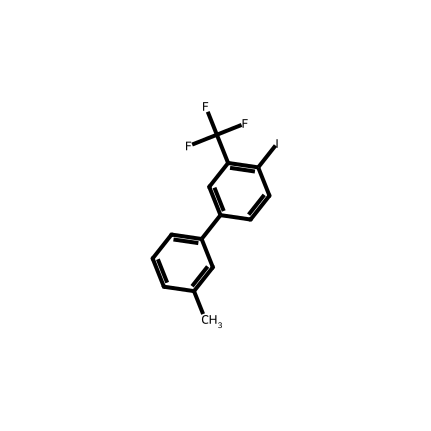 Cc1cccc(-c2ccc(I)c(C(F)(F)F)c2)c1